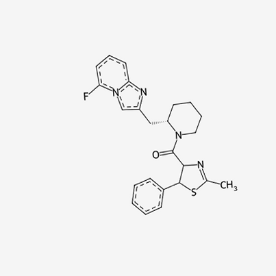 CC1=NC(C(=O)N2CCCC[C@H]2Cc2cn3c(F)cccc3n2)C(c2ccccc2)S1